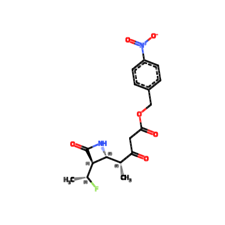 C[C@@H](F)[C@H]1C(=O)N[C@@H]1[C@@H](C)C(=O)CC(=O)OCc1ccc([N+](=O)[O-])cc1